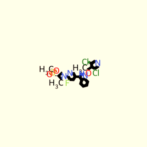 C[C@@H](On1nc(-c2cnc(N3C[C@@H](CS(C)(=O)=O)[C@@H]3C)c(F)c2)c2ccccc21)c1c(Cl)cncc1Cl